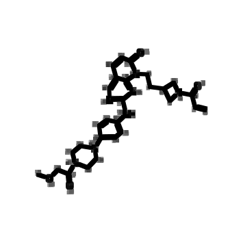 C=CC(=O)N1CC(CCn2c(=O)ccc3cnc(Nc4ccc(N5CCN(C(=O)COC)CC5)cc4)nc32)C1